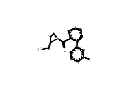 Cc1cccc(-c2ccccc2C(=O)N2CCC2CN)c1